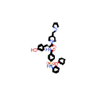 O=C(N[C@@H](Cc1ccc(O)cc1)C(=O)N1CCC(CCN2CCCC2)CC1)c1ccc(S(=O)(=O)Nc2ccccc2Oc2ccccc2)cc1